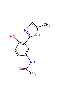 CC(=O)Nc1ccc(O)c(-c2n[c]c(C)[nH]2)c1